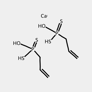 C=CCP(O)(=S)S.C=CCP(O)(=S)S.[Ca]